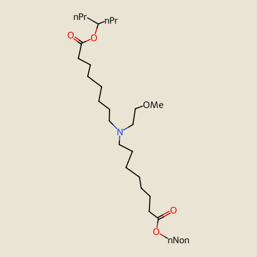 CCCCCCCCCOC(=O)CCCCCCCN(CCCCCCCC(=O)OC(CCC)CCC)CCOC